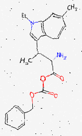 CCn1cc(C(C)[C@H](N)C(=O)OC(=O)OCc2ccccc2)c2ccc(C)cc21